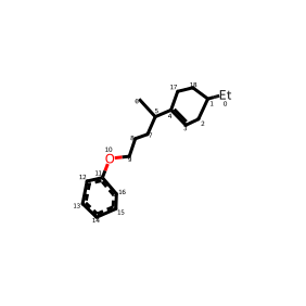 CCC1CC=C(C(C)CCCOc2ccccc2)CC1